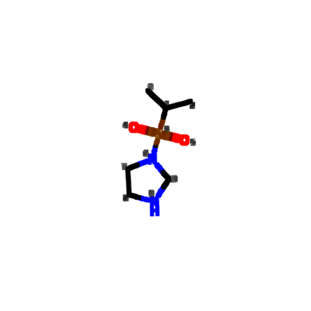 CC(C)S(=O)(=O)N1CCNC1